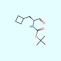 CC(C)(C)OC(=O)N[C@H](C=O)CC1CCC1